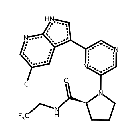 O=C(NCC(F)(F)F)[C@@H]1CCCN1c1cncc(-c2c[nH]c3ncc(Cl)cc23)n1